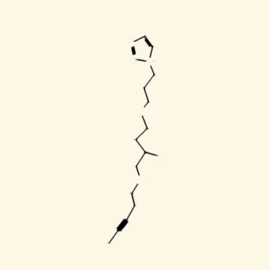 CC#CCCOCC(N)CCOCCCn1ccnn1